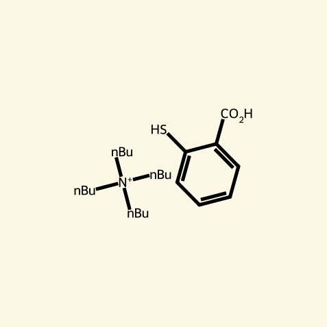 CCCC[N+](CCCC)(CCCC)CCCC.O=C(O)c1ccccc1S